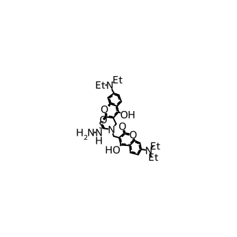 CCN(CC)c1ccc2c(O)c(CN(Cc3c(O)c4ccc(N(CC)CC)cc4oc3=O)C(=S)NN)c(=O)oc2c1